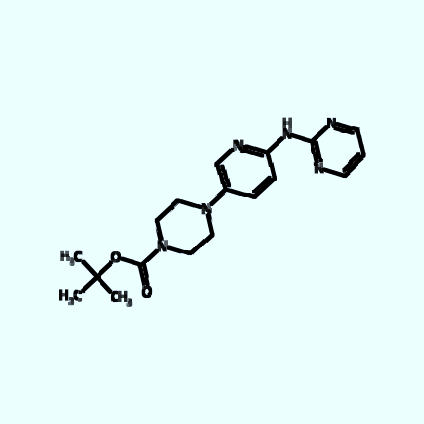 CC(C)(C)OC(=O)N1CCN(c2ccc(Nc3ncccn3)nc2)CC1